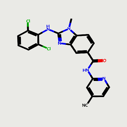 Cn1c(Nc2c(Cl)cccc2Cl)nc2cc(C(=O)Nc3cc(C#N)ccn3)ccc21